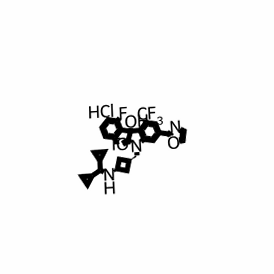 Cl.O=C1N(C[C@H]2C[C@H](NC(C3CC3)C3CC3)C2)c2cc(-c3ncco3)cc(C(F)(F)F)c2C1(O)c1c(F)cccc1F